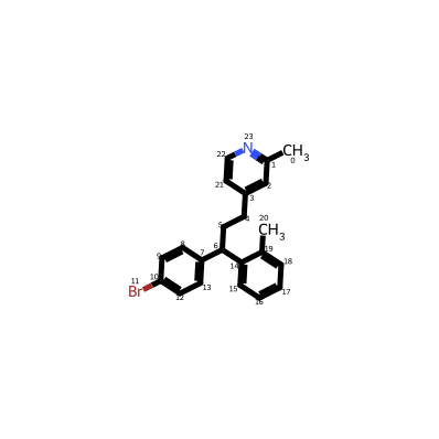 Cc1cc(CCC(c2ccc(Br)cc2)c2ccccc2C)ccn1